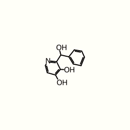 Oc1ccnc(C(O)c2ccccc2)c1O